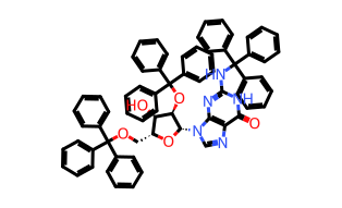 O=c1[nH]c(NC(c2ccccc2)(c2ccccc2)c2ccccc2)nc2c1ncn2[C@@H]1O[C@H](COC(c2ccccc2)(c2ccccc2)c2ccccc2)[C@@H](O)[C@H]1OC(c1ccccc1)(c1ccccc1)c1ccccc1